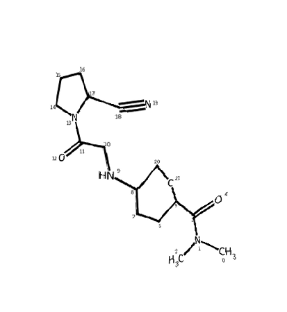 CN(C)C(=O)C1CCC(NCC(=O)N2CCCC2C#N)CC1